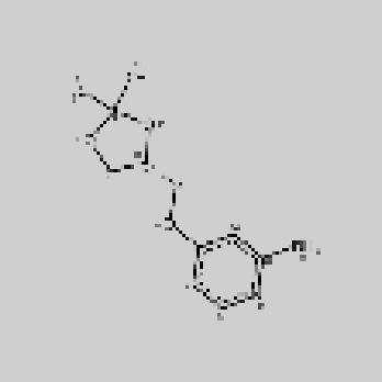 CC1(C)OC[C@@H](COc2ccnc(N)c2)O1